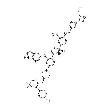 CC1(C)CCC(CN2CCN(c3ccc(C(=O)NS(=O)(=O)c4ccc(OCc5ccn(C6COC6CF)c5)c([N+](=O)[O-])c4)c(Oc4cnc5[nH]ccc5c4)c3)CC2)=C(c2ccc(Cl)cc2)C1